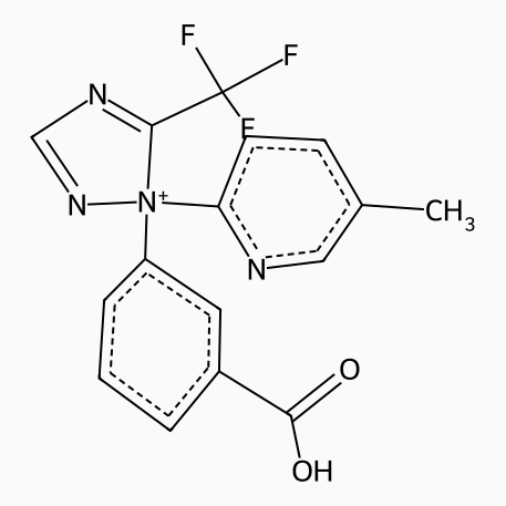 Cc1ccc([N+]2(c3cccc(C(=O)O)c3)N=CN=C2C(F)(F)F)nc1